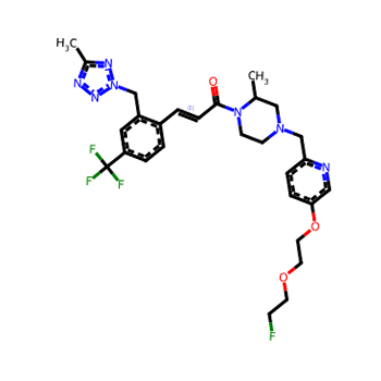 Cc1nnn(Cc2cc(C(F)(F)F)ccc2/C=C/C(=O)N2CCN(Cc3ccc(OCCOCCF)cn3)CC2C)n1